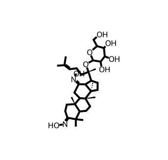 CC(C)=CCC[C@](C)(OC1OC(CO)C(O)C(O)C1O)C1CC[C@]2(C)C1/C(=N\O)CC1[C@@]3(C)CC/C(=N\O)C(C)(C)C3CC[C@]12C